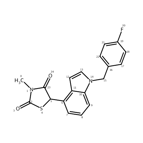 CN1C(=O)SC(c2cccc3c2ccn3Cc2ccc(F)cc2)C1=O